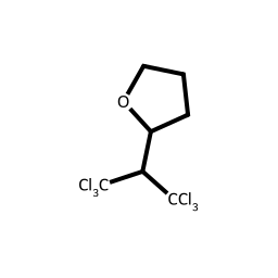 ClC(Cl)(Cl)C(C1CCCO1)C(Cl)(Cl)Cl